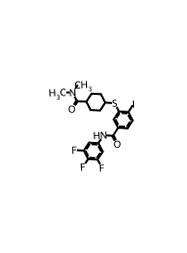 CN(C)C(=O)C1CCC(Sc2cc(C(=O)Nc3cc(F)c(F)c(F)c3)ccc2I)CC1